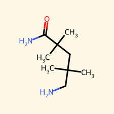 CC(C)(CN)CC(C)(C)C(N)=O